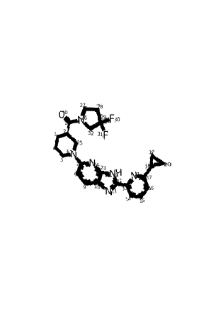 O=C([C@@H]1CCCN(c2ccc3nc(-c4cccc(C5CC5)n4)[nH]c3n2)C1)N1CCC(F)(F)C1